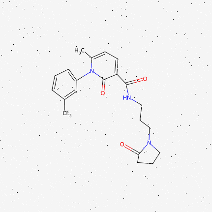 Cc1ccc(C(=O)NCCCN2CCCC2=O)c(=O)n1-c1cccc(C(F)(F)F)c1